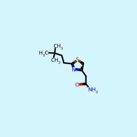 CC(C)(C)CCc1nc(CC(N)=O)cs1